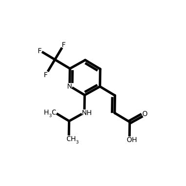 CC(C)Nc1nc(C(F)(F)F)ccc1C=CC(=O)O